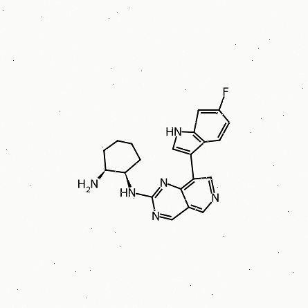 N[C@H]1CCCC[C@H]1Nc1ncc2cncc(-c3c[nH]c4cc(F)ccc34)c2n1